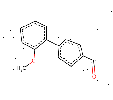 COc1ccccc1-c1ccc([C]=O)cc1